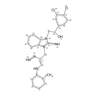 Cc1ccccc1N/C=C(/Cn1c(=N)n(CC(O)c2ccc(Cl)c(Cl)c2)c2ccccc21)N=N